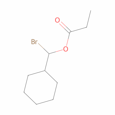 CCC(=O)OC(Br)C1CCCCC1